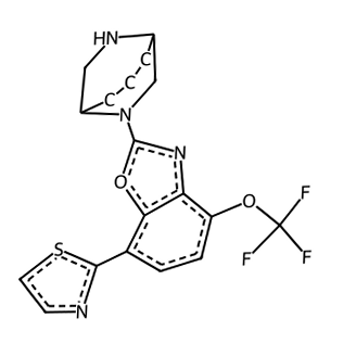 FC(F)(F)Oc1ccc(-c2nccs2)c2oc(N3CC4CCCC3CN4)nc12